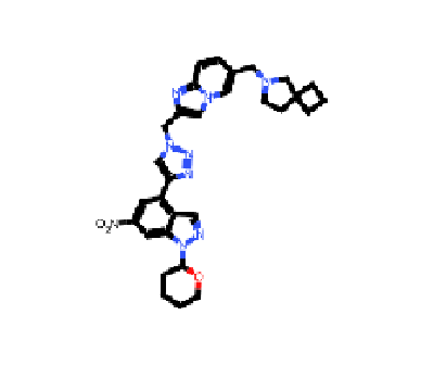 O=[N+]([O-])c1cc(-c2cn(Cc3cn4cc(CN5CCC6(CCC6)C5)ccc4n3)nn2)c2cnn(C3CCCCO3)c2c1